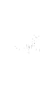 Cc1cccc2c1NCCN2c1cc2cnc(Nc3ccc(OCCN(C)C)cc3)nc2n(C2CC(O)C2)c1=O